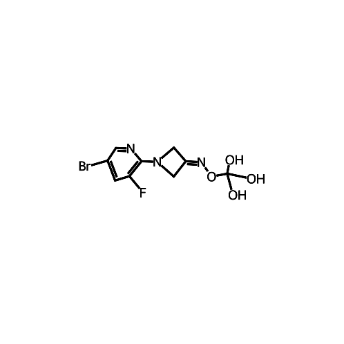 OC(O)(O)ON=C1CN(c2ncc(Br)cc2F)C1